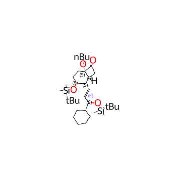 CCCCO[C@@]12CC[C@H](O[Si](C)(C)C(C)(C)C)[C@@H](/C=C/[C@@H](O[Si](C)(C)C(C)(C)C)C3CCCCC3)[C@@H]1CC2=O